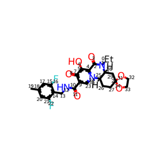 CCN1C(=O)c2c(O)c(=O)c(C(=O)NCc3c(F)cc(C)cc3F)cn2[C@H]2CCC3(C[C@H]21)OCCO3